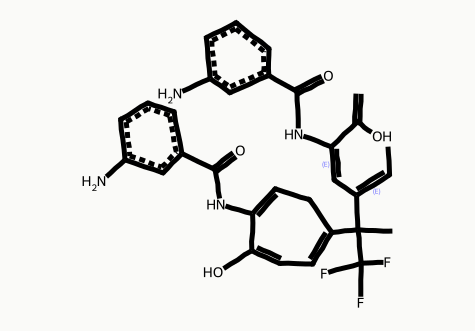 C=C(O)/C(=C\C(=C/C)C(C)(C1=CC=C(O)C(NC(=O)c2cccc(N)c2)=CC1)C(F)(F)F)NC(=O)c1cccc(N)c1